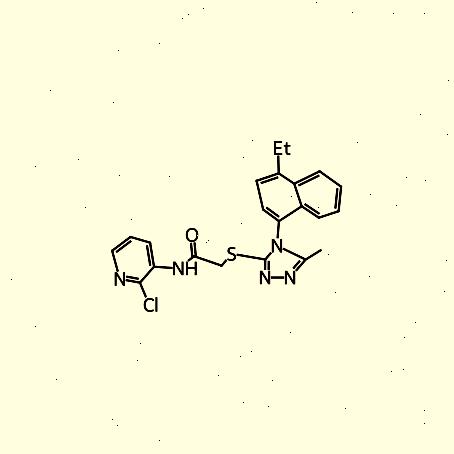 CCc1ccc(-n2c(C)nnc2SCC(=O)Nc2cccnc2Cl)c2ccccc12